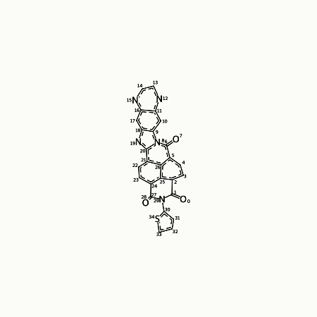 O=C1c2ccc3c(=O)n4c5cc6nccnc6cc5nc4c4ccc(c2c34)C(=O)N1c1cccs1